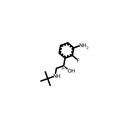 CC(C)(C)NC[C@H](O)c1cccc(N)c1F